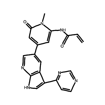 C=CC(=O)Nc1cc(-c2cnc3[nH]cc(-c4ccncn4)c3c2)cc(=O)n1C